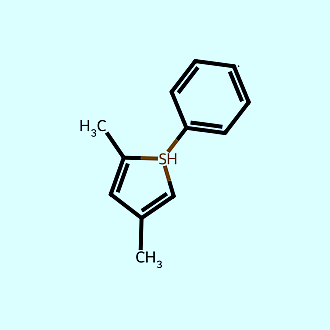 CC1=C[SH](c2cc[c]cc2)C(C)=C1